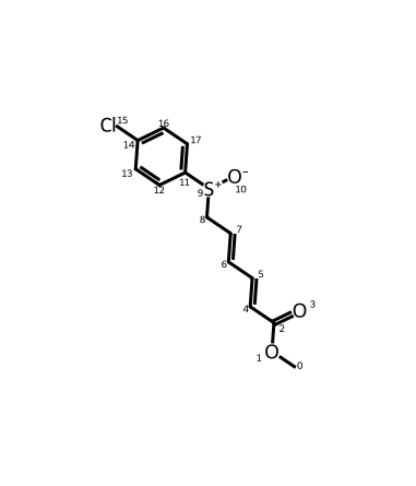 COC(=O)/C=C/C=C/C[S+]([O-])c1ccc(Cl)cc1